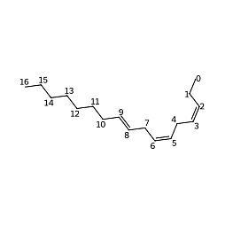 CC/C=C\C/C=C\CC=CCCCCCCC